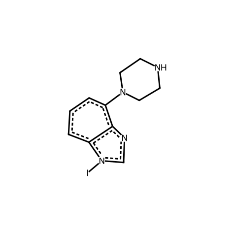 In1cnc2c(N3CCNCC3)cccc21